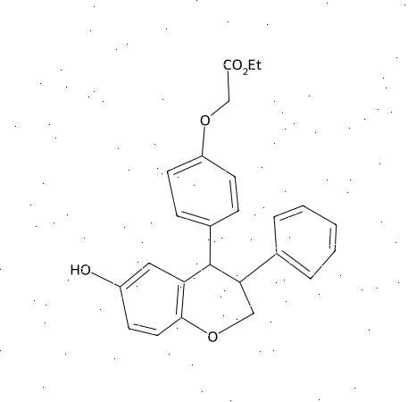 CCOC(=O)COc1ccc(C2c3cc(O)ccc3OCC2c2ccccc2)cc1